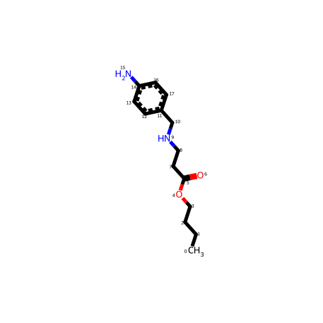 CCCCOC(=O)CCNCc1ccc(N)cc1